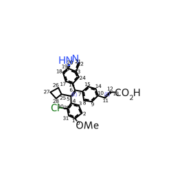 COc1ccc(/C(=C(\c2ccc(/C=C/C(=O)O)cc2)c2ccc3[nH]ncc3c2)C2CCC2)c(Cl)c1